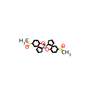 CS(=O)c1ccc([O][Zr]([O]c2ccc(S(C)=O)cc2)([C]2=CC=CC2)[C]2=CC=CC2)cc1